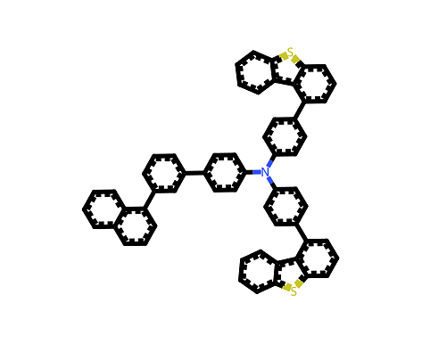 c1cc(-c2ccc(N(c3ccc(-c4cccc5sc6ccccc6c45)cc3)c3ccc(-c4cccc5sc6ccccc6c45)cc3)cc2)cc(-c2cccc3ccccc23)c1